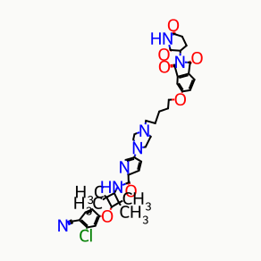 CC1(C)C(NC(=O)c2ccc(N3CCN(CCCCCOc4ccc5c(c4)C(=O)N(C4CCC(=O)NC4=O)C5=O)CC3)cn2)C(C)(C)C1Oc1ccc(C#N)c(Cl)c1